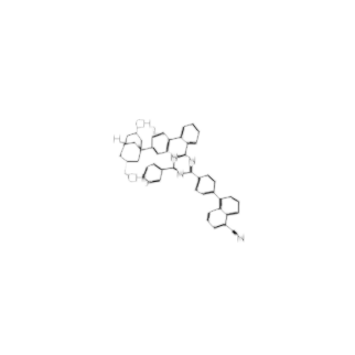 CC[C@@H]1C[C@@H]2C[C@H](C)CC(c3ccc(-c4ccccc4-c4nc(-c5ccccc5)nc(-c5ccc(-c6cccc7c(C#N)cccc67)cc5)n4)cc3)(C1)C2